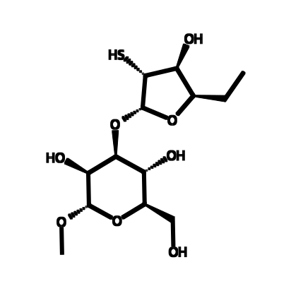 CC[C@H]1O[C@H](O[C@@H]2[C@H](O)[C@@H](OC)O[C@H](CO)[C@H]2O)[C@H](S)[C@H]1O